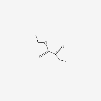 C[CH]C(=O)C(=O)OCC